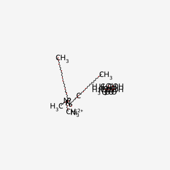 CCCCCCCCCCCCCCCCCCCCCCCCCC=CCCCc1ccccc1N=C(CCCC)C(CCCCCC)=Nc1ccccc1CCCC=CCCCCCCCCCCCCCCCCCCCCCCCCC.Cc1cc(O)c(O)c(C(=O)[O-])c1C.Cc1cc(O)c(O)c(C(=O)[O-])c1C.[Ni+2]